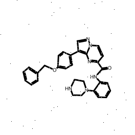 O=C(Nc1ccccc1N1CCNCC1)c1ccn2ncc(-c3ccc(OCc4ccccc4)cc3)c2n1